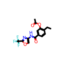 CCc1ccc(C(=O)Nc2coc(C(F)(F)F)n2)cc1OC(C)=O